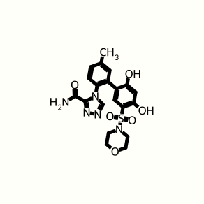 Cc1ccc(-n2cnnc2C(N)=O)c(-c2cc(S(=O)(=O)N3CCOCC3)c(O)cc2O)c1